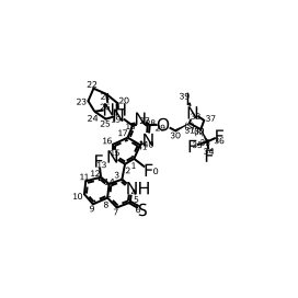 Fc1c(-c2[nH]c(=S)cc3cccc(F)c23)ncc2c(N3CC4CCC(C3)N4)nc(OC[C@@H]3[C@H](C(F)(F)F)CN3I)nc12